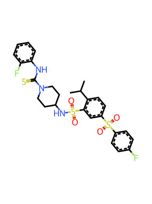 CC(C)c1ccc(S(=O)(=O)c2ccc(F)cc2)cc1S(=O)(=O)NC1CCN(C(=S)Nc2ccccc2F)CC1